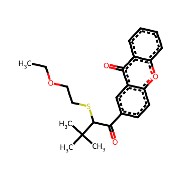 CCOCCSC(C(=O)c1ccc2oc3ccccc3c(=O)c2c1)C(C)(C)C